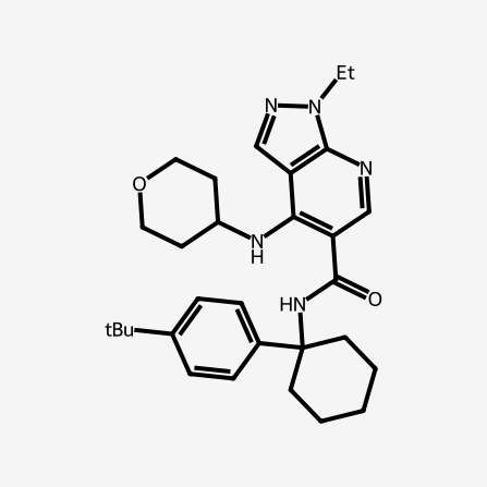 CCn1ncc2c(NC3CCOCC3)c(C(=O)NC3(c4ccc(C(C)(C)C)cc4)CCCCC3)cnc21